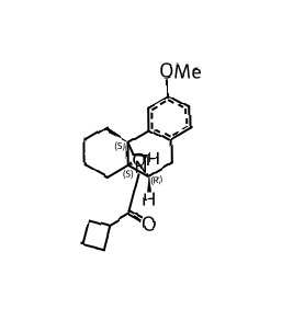 COc1ccc2c(c1)[C@@]13CCCC[C@@]1(O)[C@@H](C2)N(C(=O)C1CCC1)CC3